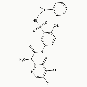 Cc1ccc(NC(=O)[C@H](C)n2ncc(Cl)c(Cl)c2=O)cc1S(=O)(=O)NC1CC1c1ccccc1